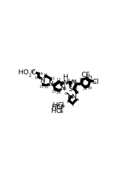 C[C@@H]1CCCN1Cc1sc(Nc2cc(N3CCN(CCC(=O)O)CC3)ccn2)nc1-c1ccc(Cl)c(C(F)(F)F)c1.Cl.Cl.Cl